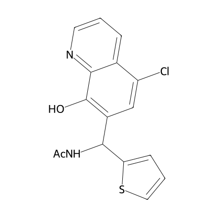 CC(=O)NC(c1cccs1)c1cc(Cl)c2cccnc2c1O